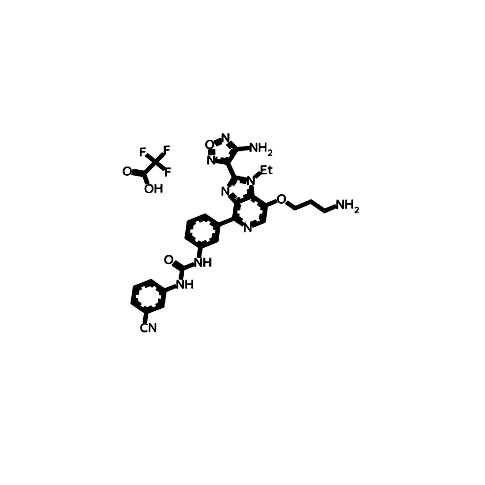 CCn1c(-c2nonc2N)nc2c(-c3cccc(NC(=O)Nc4cccc(C#N)c4)c3)ncc(OCCCN)c21.O=C(O)C(F)(F)F